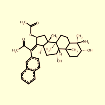 CC(=O)O[C@H]1C[C@@]2(C)[C@@H](C[C@@H](O)[C@H]3[C@@]4(C)CC[C@@H](O)[C@](C)(N)C4CC[C@@]32C)/C1=C(/C(C)=O)c1ccc2ccccc2c1